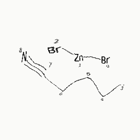 [Br][Zn][Br].[CH2]CCCC#N